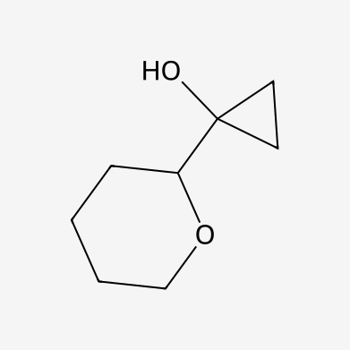 OC1(C2CCCCO2)CC1